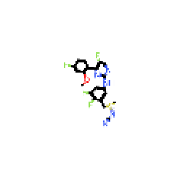 COc1cc(F)ccc1-c1nc(Nc2cc(F)c(F)c(C/S(C)=N\C#N)c2)ncc1F